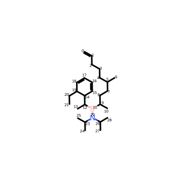 C=CCCCC(C)CCC(C)B(C(C)C1C=CC=CC1CC)N(C(C)C)C(C)C